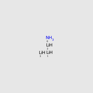 N.[LiH].[LiH].[LiH]